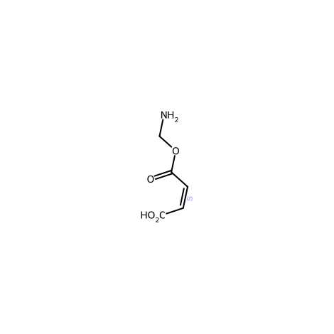 NCOC(=O)/C=C\C(=O)O